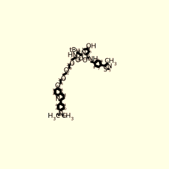 Cc1ncsc1-c1ccc(CNC(=O)[C@@H]2C[C@@H](O)CN2C(=O)[C@@H](NC(=O)COCCOCCOCCOc2ccc3nc(-c4ccc(N(C)C)cc4)ccc3c2)C(C)(C)C)cc1